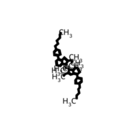 CCCCCCc1ccc(-c2cccc3c2C=C(C(C)C)C3[Si](C)(C)C2C(C(C)C)=Cc3c(-c4ccc(CCCCCC)cc4)cccc32)cc1